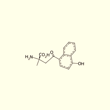 C[C@](N)(CC(=O)c1ccc(O)c2ccccc12)C(=O)O